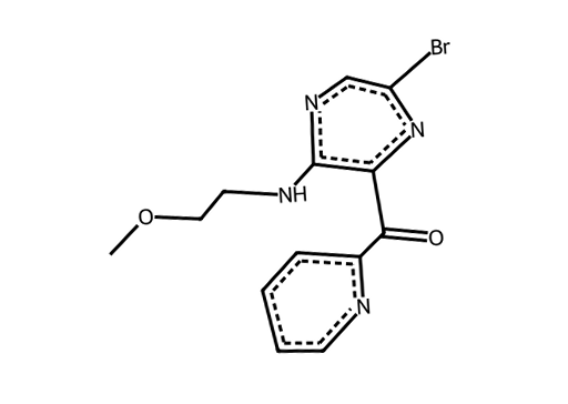 COCCNc1ncc(Br)nc1C(=O)c1ccccn1